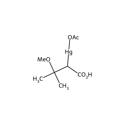 COC(C)(C)[CH]([Hg][O]C(C)=O)C(=O)O